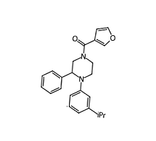 CC(C)c1c[c]cc(N2CCN(C(=O)c3ccoc3)CC2c2ccccc2)c1